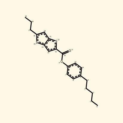 CCCCCc1ccc(OC(=O)c2cc3sc(CCC)cc3s2)cc1